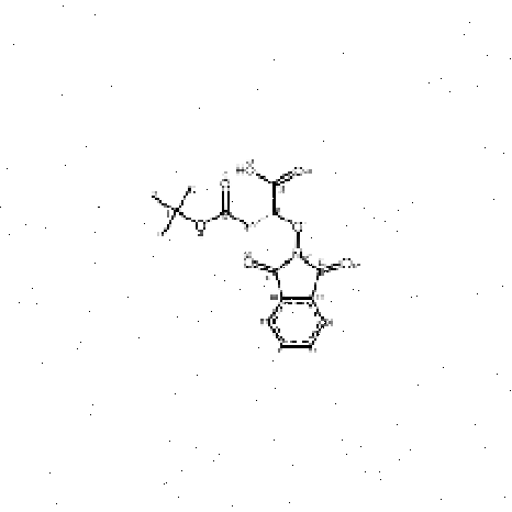 CC(C)(C)OC(=O)C[C@@H](ON1C(=O)c2ccccc2C1=O)C(=O)O